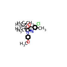 COc1ccc(N2CC[C@@]3(O[Si](C(C)C)(C(C)C)C(C)C)C(=O)c4cc(Cl)c(C)cc4N=C23)cc1